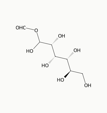 O=COC(O)[C@H](O)[C@@H](O)[C@H](O)[C@H](O)CO